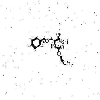 C=CCOC(=O)N[C@@H](COCc1ccccc1)C(=O)O